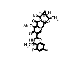 CCC1[C@H]2C[C@H]2C(C)O[C@@H]2Cn3cc(C(=O)N[C@H](C)c4ccc(F)cc4F)c(=O)c(OC)c3C(=O)N12